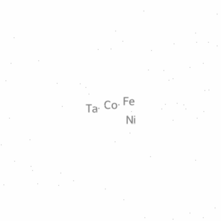 [Co].[Fe].[Ni].[Ta]